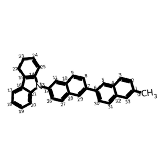 Cc1ccc2cc(-c3ccc4cc(-n5c6c(c7ccccc75)CCC=C6)ccc4c3)ccc2c1